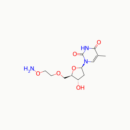 Cc1cn([C@H]2C[C@H](O)[C@@H](COCCON)O2)c(=O)[nH]c1=O